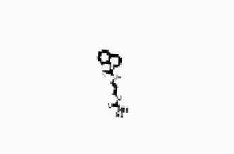 CCNC(=O)NCCCNC(=O)N1CCCC2CCCCC21